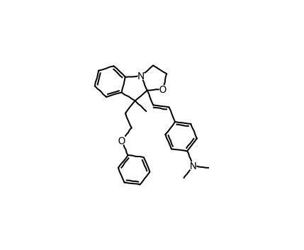 CN(C)c1ccc(C=CC23OCCN2c2ccccc2C3(C)CCOc2ccccc2)cc1